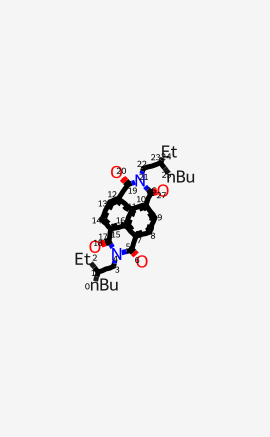 CCCCC(CC)CN1C(=O)c2ccc3c4c(ccc(c24)C1=O)C(=O)N(CC(CC)CCCC)C3=O